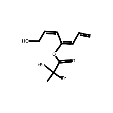 C=C/C=C(\C=C/CO)OC(=O)C(C)(C(C)C)C(C)(C)C